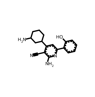 N#Cc1c(C2CCCC(N)C2)cc(-c2ccccc2O)nc1N